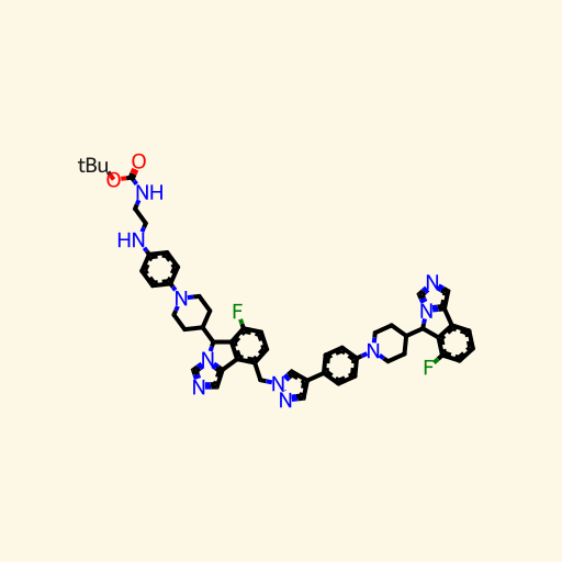 CC(C)(C)OC(=O)NCCNc1ccc(N2CCC(C3c4c(F)ccc(Cn5cc(-c6ccc(N7CCC(C8c9c(F)cccc9-c9cncn98)CC7)cc6)cn5)c4-c4cncn43)CC2)cc1